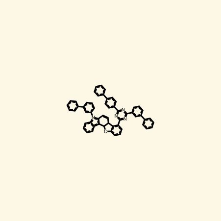 C1=CC2c3c(cccc3-c3nc(-c4ccc(-c5ccccc5)cc4)nc(-c4cccc(-c5ccccc5)c4)n3)OC2c2c1n(-c1cccc(-c3ccccc3)c1)c1ccccc21